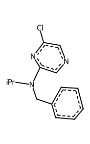 CC(C)N(Cc1ccccc1)c1cncc(Cl)n1